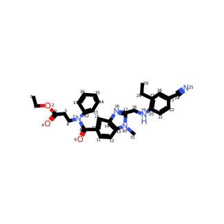 CCOC(=O)CCN(C(=O)c1ccc2c(c1)nc(CNc1ccc(C#N)cc1CC)n2C)c1ccccc1